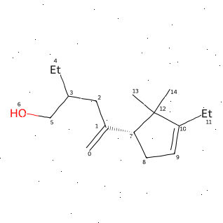 C=C(CC(CC)CO)[C@H]1CC=C(CC)C1(C)C